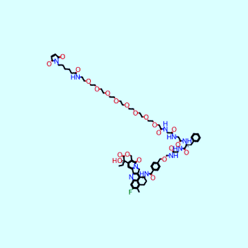 CC[C@@]1(O)C(=O)OCc2c1cc1n(c2=O)Cc2c-1nc1cc(F)c(C)c3c1c2[C@@H](NC(=O)c1ccc(COCNC(=O)CNC(=O)[C@H](Cc2ccccc2)NC(=O)CNC(=O)CNC(=O)COCCOCCOCCOCCOCCOCCOCCOCCNC(=O)CCCCCN2C(=O)C=CC2=O)cc1)CC3